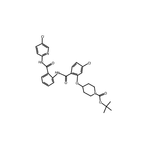 CC(C)(C)OC(=O)N1CCC(Oc2cc(Cl)ccc2C(=O)Nc2ccccc2C(=O)Nc2ccc(Cl)cn2)CC1